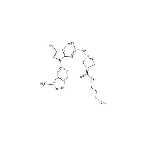 COCCNC(=O)[C@@H]1CC[C@@H](Nc2ncc3c(Br)nn(-c4ccc5cnn(C)c5c4)c3n2)C1